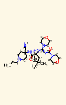 CCCN1CCC(C#N)(NC(=O)C(CC(C)(C)C)N/C(=N/C(=O)N2CCOCC2)N2CCOCC2)CC1